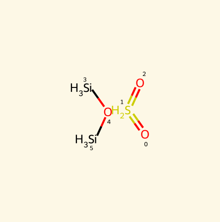 O=[SH2]=O.[SiH3]O[SiH3]